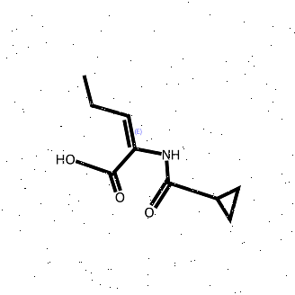 CC/C=C(/NC(=O)C1CC1)C(=O)O